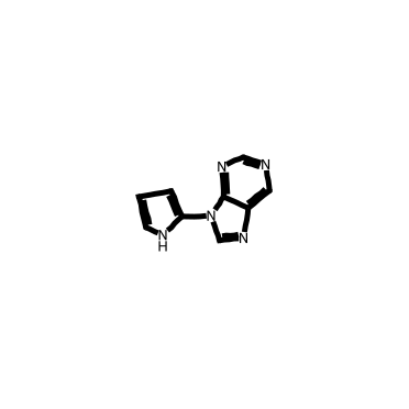 c1c[nH]c(-n2cnc3cncnc32)c1